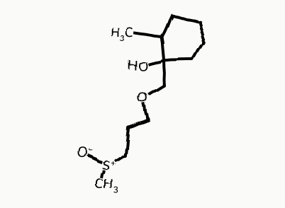 CC1CCCCC1(O)COCCC[S+](C)[O-]